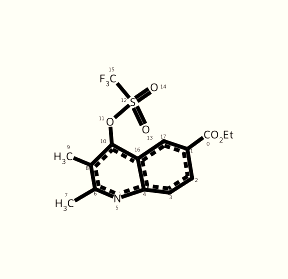 CCOC(=O)c1ccc2nc(C)c(C)c(OS(=O)(=O)C(F)(F)F)c2c1